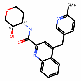 CSc1ccc(Cc2cc(C(=O)N[C@H]3CCOC[C@@H]3O)nc3ccccc23)cn1